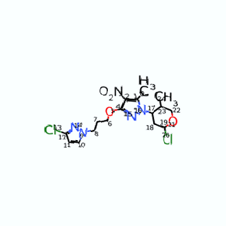 Cc1c([N+](=O)[O-])c(OCCCn2ccc(Cl)n2)nn1C1CC(Cl)OCC1C